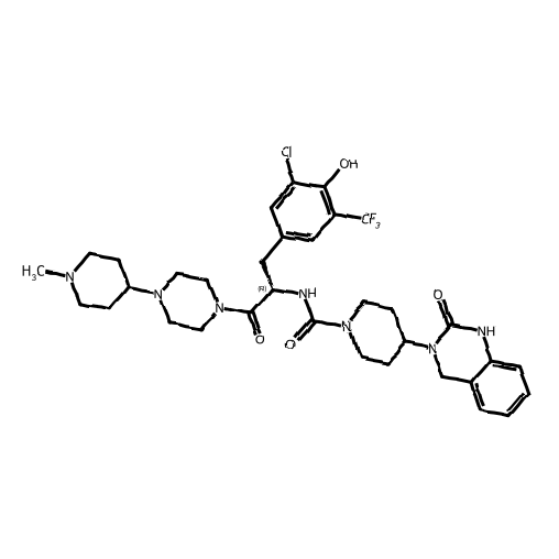 CN1CCC(N2CCN(C(=O)[C@@H](Cc3cc(Cl)c(O)c(C(F)(F)F)c3)NC(=O)N3CCC(N4Cc5ccccc5NC4=O)CC3)CC2)CC1